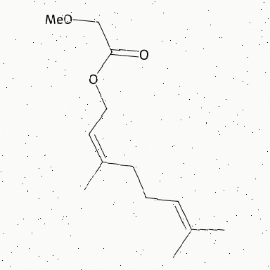 COCC(=O)OCC=C(C)CCC=C(C)C